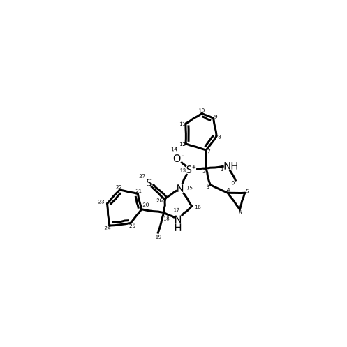 CNC(CC1CC1)(c1ccccc1)[S+]([O-])N1CNC(C)(c2ccccc2)C1=S